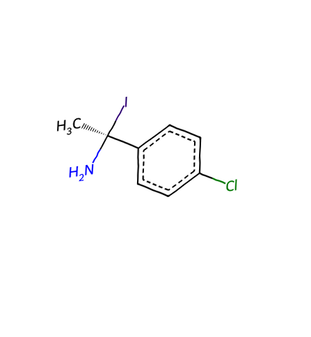 C[C@](N)(I)c1ccc(Cl)cc1